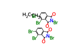 C=C.O=C1c2ccc(Br)c(Br)c2C(=O)N1Br.O=C1c2ccc(Br)c(Br)c2C(=O)N1Br